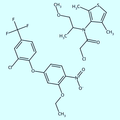 CCOc1cc(Oc2ccc(C(F)(F)F)cc2Cl)ccc1[N+](=O)[O-].COCC(C)N(C(=O)CCl)c1c(C)csc1C